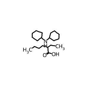 C1CCC(NC2CCCCC2)CC1.CCCCC(CC)C(=O)O